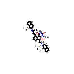 CCCCn1c(O)c(C2=C(/C=C/C(C)=N/c3ccc4ccccc4c3C)CCC/C2=C\C=C(/C)N(C)c2ccc3ccccc3c2C)c(=O)n(CCCC)c1=O